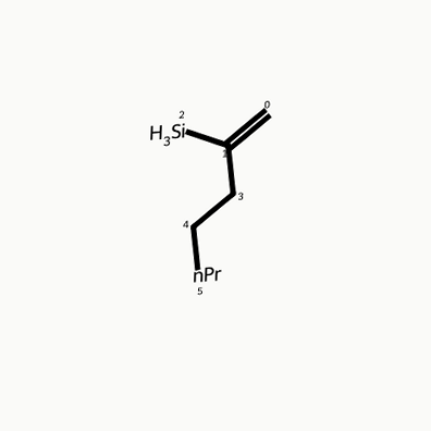 C=C([SiH3])CCCCC